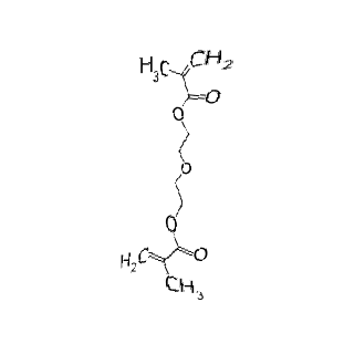 C=C(C)C(=O)OCCOCCOC(=O)C(=C)C